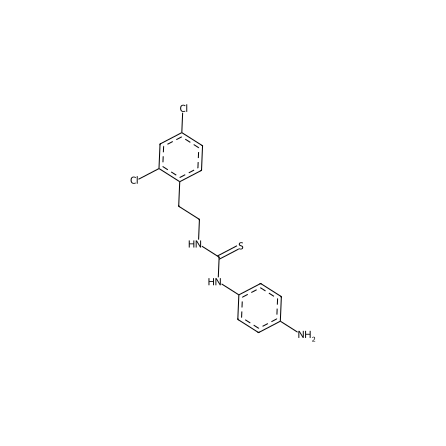 Nc1ccc(NC(=S)NCCc2ccc(Cl)cc2Cl)cc1